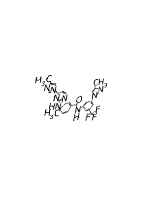 Cc1cn(-c2cc(NC(=O)C3=CCC(C)(Nc4nccc(-n5cnc(C)c5)n4)C=C3)cc(C(F)(F)F)c2)cn1